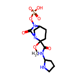 COC1(C(=O)NC2CCCN2)CCC2CN1C(=O)N2OS(=O)(=O)O